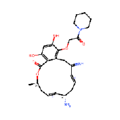 C[C@@H]1C/C=C/[C@@H](N)C/C=C/C(=N)Cc2c(OCC(=O)N3CCCCC3)c(O)cc(O)c2C(=O)O1